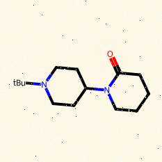 CC(C)(C)N1CCC(N2CCCCC2=O)CC1